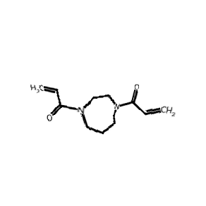 C=CC(=O)N1CCCN(C(=O)C=C)CC1